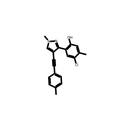 Cc1ccc(C#Cc2cn(C)nc2-c2cc(Cl)c(C)cc2O)cc1